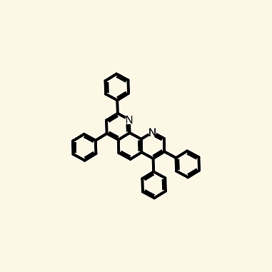 c1ccc(-c2cc(-c3ccccc3)c3ccc4c(-c5ccccc5)c(-c5ccccc5)cnc4c3n2)cc1